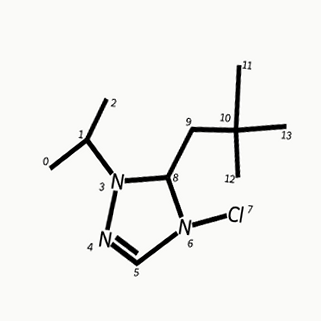 CC(C)N1N=CN(Cl)C1CC(C)(C)C